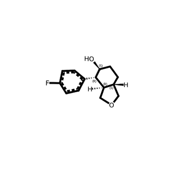 O[C@H]1CC[C@@H]2COC[C@H]2[C@@H]1c1ccc(F)cc1